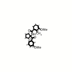 COC1=CCCC(C(=O)NC2(C(=O)c3cccc(OC)c3)CCCC2)=C1C